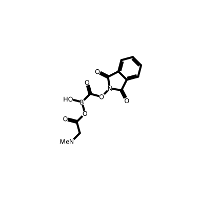 CNCC(=O)OB(O)C(=O)ON1C(=O)c2ccccc2C1=O